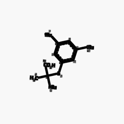 CCCCC(C)(Sc1cc(C(C)(C)C)cc(C(C)(C)C)c1)C(=O)O